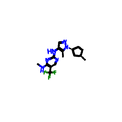 CNc1nc(Nc2cnn([C@@H]3CC[C@@H](C)C3)c2C)ncc1C(F)(F)F